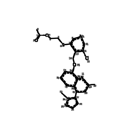 CC(=O)OCCSc1cncc(Cl)c1COc1cccc2c(-c3ccnn3C)cc(C)nc12